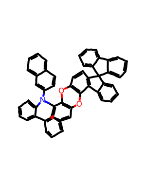 c1ccc(-c2ccccc2N(c2ccc3ccccc3c2)c2cccc3c2Oc2ccc4c(c2O3)-c2ccccc2C42c3ccccc3-c3ccccc32)cc1